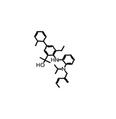 C=C(/C=C\C)CN(c1ccccc1Nc1c(CC)cc(C2C=CC=CC2C)cc1C(C)(C)O)C(C)C